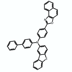 c1ccc(-c2ccc(N(c3ccc(-c4nc5c(ccc6ccccc65)o4)cc3)c3ccc4sc5ccccc5c4c3)cc2)cc1